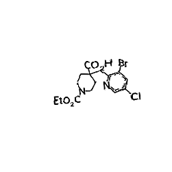 CCOC(=O)N1CCC(Cc2ncc(Cl)cc2Br)(C(=O)O)CC1